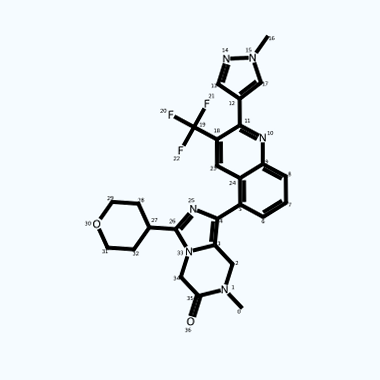 CN1Cc2c(-c3cccc4nc(-c5cnn(C)c5)c(C(F)(F)F)cc34)nc(C3CCOCC3)n2CC1=O